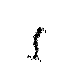 C=C(C)C(=O)OCCCCCCOc1ccc(/C=C/C(=O)OCCCCCCOc2ccc(/C=C/C(=O)OC)cc2)cc1